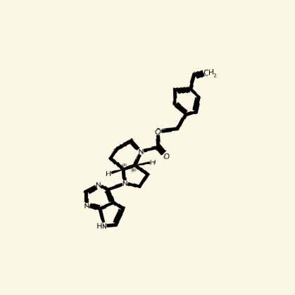 C=Cc1ccc(COC(=O)N2CCC[C@@H]3[C@H]2CCN3c2ncnc3[nH]ccc23)cc1